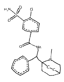 CN1CC2CCC1(C(NC(=O)c1ccc(Cl)c(S(N)(=O)=O)c1)c1ccccc1)CC2